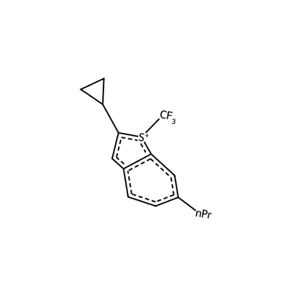 CCCc1ccc2cc(C3CC3)[s+](C(F)(F)F)c2c1